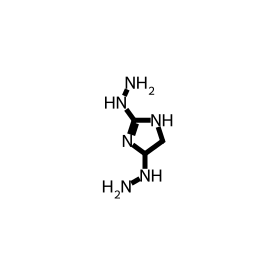 NNC1=NC(NN)CN1